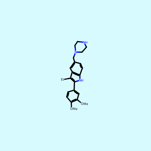 CCc1c(-c2ccc(OC)c(OC)c2)[nH]c2ccc(CN3CCNCC3)cc12